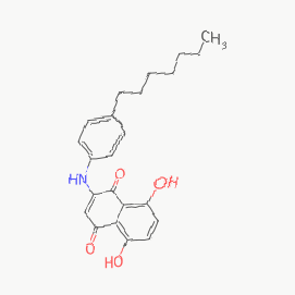 CCCCCCCc1ccc(NC2=CC(=O)c3c(O)ccc(O)c3C2=O)cc1